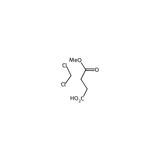 COC(=O)CCC(=O)O.ClCCl